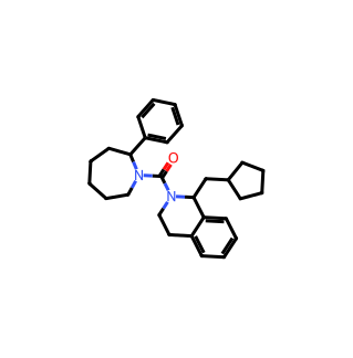 O=C(N1CCCCCC1c1ccccc1)N1CCc2ccccc2C1CC1CCCC1